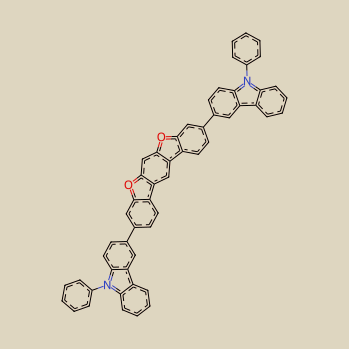 c1ccc(-n2c3ccccc3c3cc(-c4ccc5c(c4)oc4cc6oc7cc(-c8ccc9c(c8)c8ccccc8n9-c8ccccc8)ccc7c6cc45)ccc32)cc1